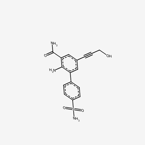 NC(=O)c1cc(C#CCO)cc(-c2ccc(S(N)(=O)=O)cc2)c1N